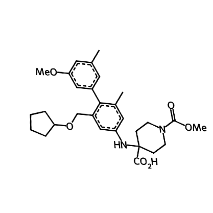 COC(=O)N1CCC(Nc2cc(C)c(-c3cc(C)cc(OC)c3)c(COC3CCCC3)c2)(C(=O)O)CC1